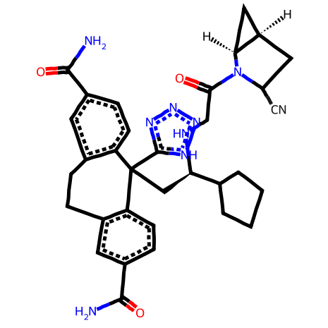 N#CC1C[C@@H]2C[C@@H]2N1C(=O)CN[C@H](CC1(c2nnn[nH]2)c2ccc(C(N)=O)cc2CCc2cc(C(N)=O)ccc21)C1CCCC1